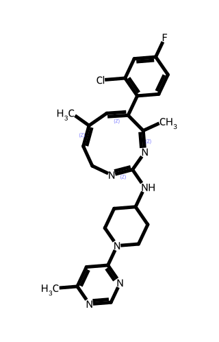 CC1=C\C\N=C(NC2CCN(c3cc(C)ncn3)CC2)/N=C(C)\C(c2ccc(F)cc2Cl)=C/1